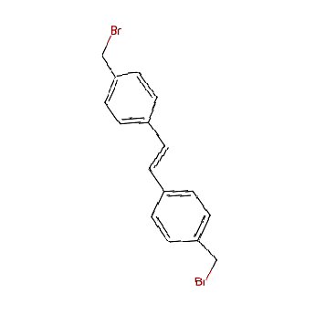 BrCc1ccc(C=Cc2ccc(CBr)cc2)cc1